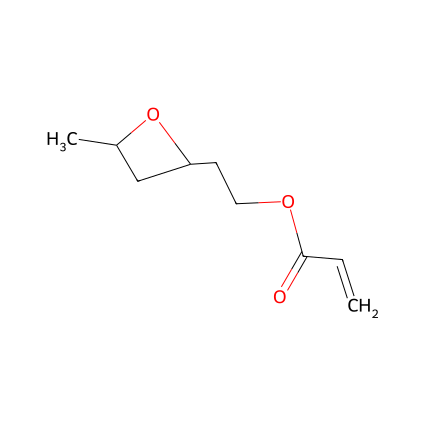 C=CC(=O)OCCC1CC(C)O1